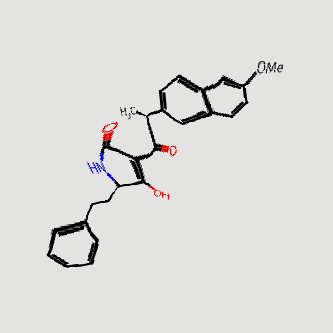 COc1ccc2cc([C@H](C)C(=O)C3=C(O)[C@@H](CCc4ccccc4)NC3=O)ccc2c1